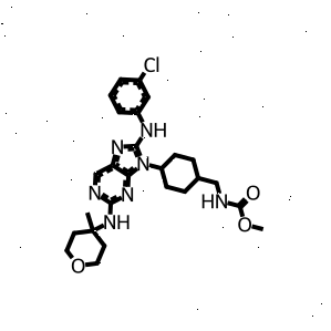 COC(=O)NCC1CCC(n2c(Nc3cccc(Cl)c3)nc3cnc(NC4(C)CCOCC4)nc32)CC1